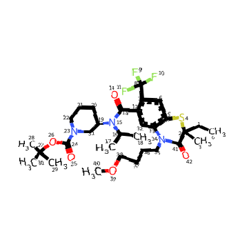 CCC1(C)Sc2cc(C(F)(F)F)c(C(=O)N(C(C)C)[C@@H]3CCCN(C(=O)OC(C)(C)C)C3)cc2N(CCCCOC)C1=O